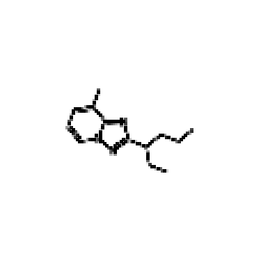 CCCC(CC)c1nc2c(C)cccn2n1